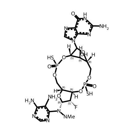 CNN(c1ncnc(N)c1N)[C@@H]1O[C@@H]2COP(=O)(S)O[C@@H]3C(n4cnc5c(=O)[nH]c(N)nc54)O[C@H](COP(=O)(S)O[C@H]2[C@@H]1F)[C@H]3O